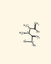 C=C([C@@H](C)N(C)C(=C)CC)N(CC)CC